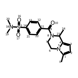 Cc1ccc2n1CCN(C(=O)c1ccc(S(=O)(=O)N(C)C)cc1)C2C